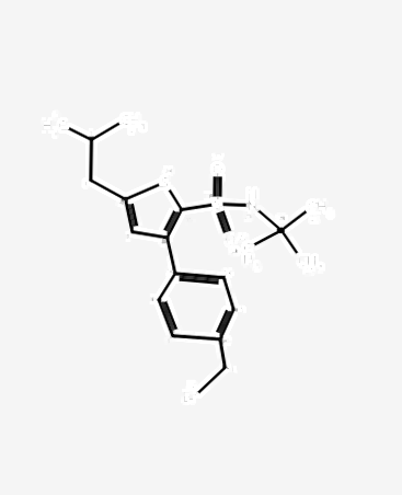 CC(C)Cc1cc(-c2ccc(CBr)cc2)c(S(=O)(=O)NC(C)(C)C)s1